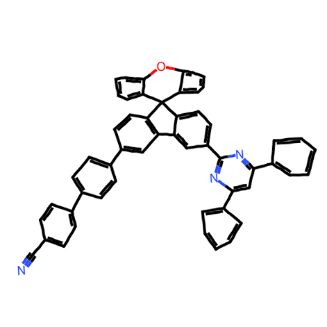 N#Cc1ccc(-c2ccc(-c3ccc4c(c3)-c3cc(-c5nc(-c6ccccc6)cc(-c6ccccc6)n5)ccc3C43c4ccccc4Oc4ccccc43)cc2)cc1